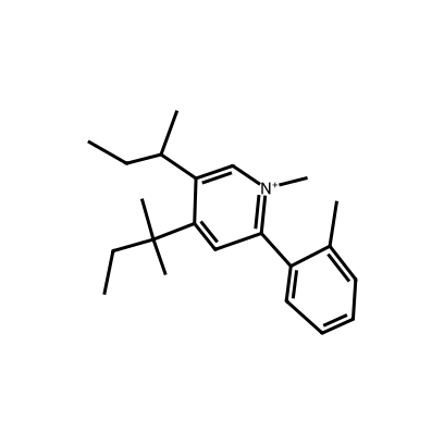 CCC(C)c1c[n+](C)c(-c2ccccc2C)cc1C(C)(C)CC